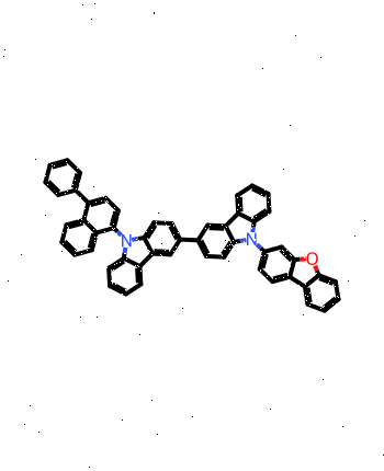 c1ccc(-c2ccc(-n3c4ccccc4c4cc(-c5ccc6c(c5)c5ccccc5n6-c5ccc6c(c5)oc5ccccc56)ccc43)c3ccccc23)cc1